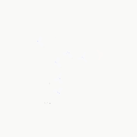 COc1cccc2c1nc(C(F)F)n2-c1cc(N2CCOCC2)nc(-c2cccnc2)n1